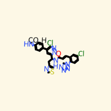 O=C(O)Nc1ccc(-c2cc(C(Cc3cscn3)NC(=O)C=Cc3cc(Cl)ccc3-n3cnnn3)nnc2Cl)cc1